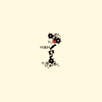 COc1cc(CCN2CCN(CC#CCOc3ccccc3[C@@]3(C(C)C)Sc4ccccc4N(C)C3=O)CC2)cc(OC)c1OC.Cl.Cl